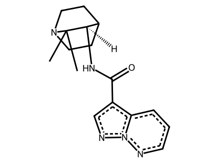 CC1(C)[C@H](NC(=O)c2cnn3ncccc23)C2CCN1CC2